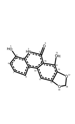 O=c1[nH]c2c(O)cccc2c2cc3c(c(O)c12)OCO3